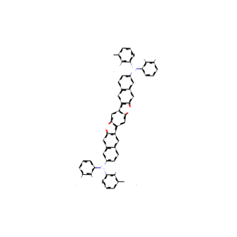 Cc1cccc(N(c2ccc3cc4c(cc3c2)oc2cc3c(cc24)oc2cc4cc(N(c5cccc(C)c5C)c5cccc(C)c5C)ccc4cc23)c2cccc(C)c2C)c1C